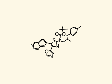 Cc1ccc(CC(C)CN(C(=O)OC(C)(C)C)c2nc(-c3cnco3)c(-c3ccc4cnccc4c3)s2)cc1